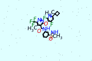 Cc1c(C(F)(F)F)nnc(Oc2c(F)cc(C3(C)CCC3)nc2F)c1C(=O)Nc1cccc(S(C)(=N)=O)c1